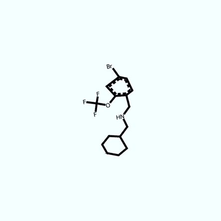 FC(F)(F)Oc1cc(Br)ccc1CNCC1CC[CH]CC1